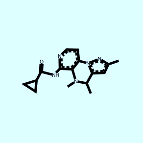 Cc1cc2n(n1)-c1ccnc(NC(=O)C3CC3)c1N(C)C2C